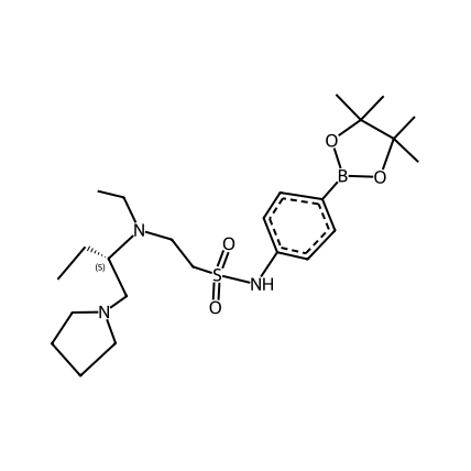 CC[C@@H](CN1CCCC1)N(CC)CCS(=O)(=O)Nc1ccc(B2OC(C)(C)C(C)(C)O2)cc1